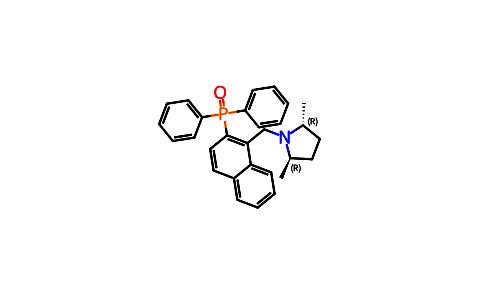 C[C@@H]1CC[C@@H](C)N1Cc1c(P(=O)(c2ccccc2)c2ccccc2)ccc2ccccc12